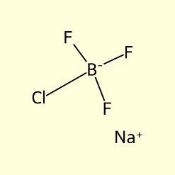 F[B-](F)(F)Cl.[Na+]